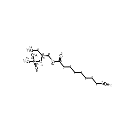 CCCCCCCCCCCCCCCCCC(=O)OC[C@H](CO)OP(=O)(O)O